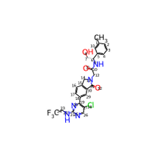 Cc1cccc([C@@H](CO)NC(=O)CN2Cc3ccc(-c4nc(NCC(F)(F)F)ncc4Cl)cc3C2=O)c1